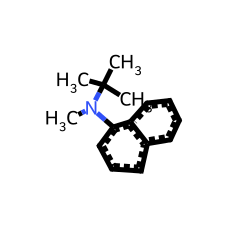 CN(c1cccc2ccccc12)C(C)(C)C